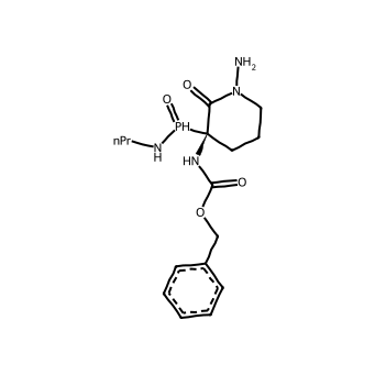 CCCN[PH](=O)[C@@]1(NC(=O)OCc2ccccc2)CCCN(N)C1=O